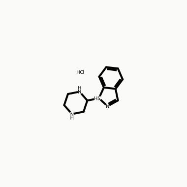 Cl.[CH]1NCCNC1[SH]1N=Cc2ccccc21